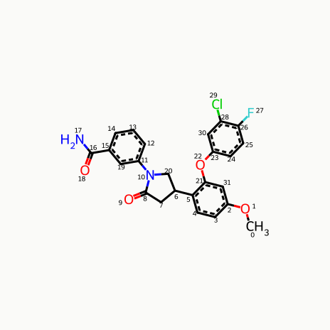 COc1ccc(C2CC(=O)N(c3cccc(C(N)=O)c3)C2)c(Oc2ccc(F)c(Cl)c2)c1